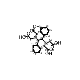 O=C(O)CN(CC(=O)O)C(c1ccccc1)C(c1ccccc1)N(CC(=O)O)CC(=O)O